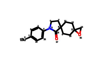 CC(C)(C)c1ccc(N2CCC3(CCC4(CC3)CO4)C2=O)cc1